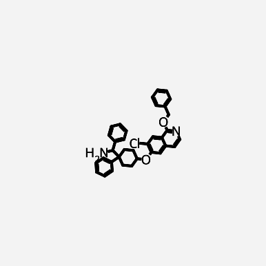 NC(c1ccccc1)C1(c2ccccc2)CCC(Oc2cc3ccnc(OCc4ccccc4)c3cc2Cl)CC1